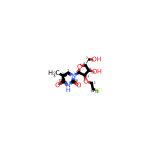 Cc1cn(C2O[C@H](CO)C(O)C2OCCF)c(=O)[nH]c1=O